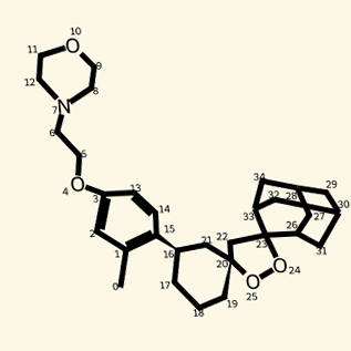 Cc1cc(OCCN2CCOCC2)ccc1[C@@H]1CCC[C@@]2(C1)CC1(OO2)C2CC3CC(C2)CC1C3